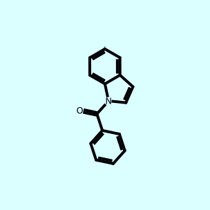 O=C(c1ccccc1)n1ccc2c[c]ccc21